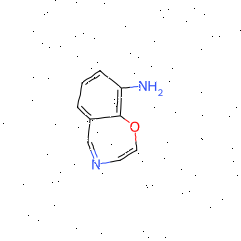 Nc1cccc2c1OC=CN=C2